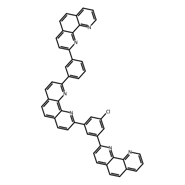 Clc1cc(-c2ccc3ccc4cccnc4c3n2)cc(-c2ccc3ccc4ccc(-c5cccc(-c6ccc7ccc8cccnc8c7n6)c5)nc4c3n2)c1